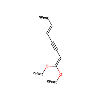 CCCCC/C=C/C#CC=C(OCCCCC)OCCCCC